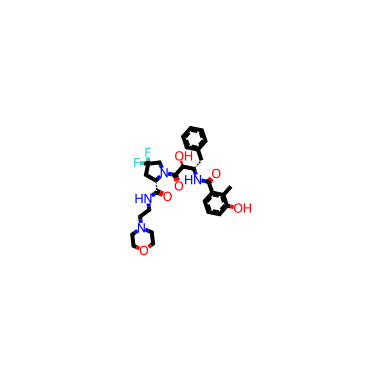 Cc1c(O)cccc1C(=O)N[C@@H](Cc1ccccc1)[C@H](O)C(=O)N1CC(F)(F)C[C@H]1C(=O)NCCN1CCOCC1